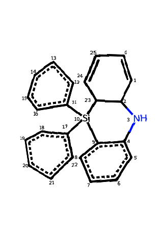 C1=CC2Nc3ccccc3[Si](c3ccccc3)(c3ccccc3)C2C=C1